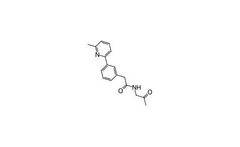 CC(=O)CNC(=O)Cc1cccc(-c2cccc(C)n2)c1